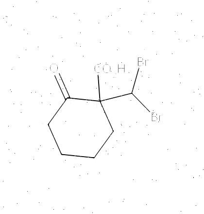 O=C(O)C1(C(Br)Br)CCCCC1=O